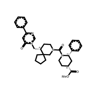 COC(=O)[C@@H]1CCN(C(=O)N2CC[C@@H](Cn3cnc(-c4ccccc4)cc3=O)C3(CCCC3)C2)[C@H](c2ccccc2)C1